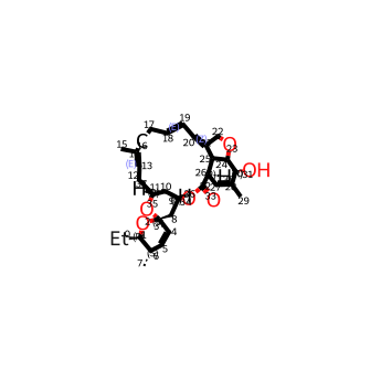 CC[C@H]1O[C@]2(C=C[C@@H]1C)C[C@@H]1C[C@@H](C/C=C(\C)CC/C=C/C=C3\COC4C3[C@@H](C=C(C)[C@H]4O)C(=O)O1)O2